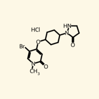 Cl.Cn1cc(Br)c(OC2CCC(N3NCCC3=O)CC2)cc1=O